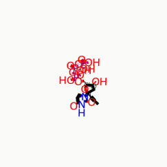 CC#C[C@]1(n2ccc(=O)[nH]c2=O)C[C@H](O)[C@@H](COP(=O)(O)OP(=O)(O)OP(=O)(O)O)O1